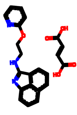 O=C(O)/C=C/C(=O)O.c1ccc(OCCNC2=Nc3cccc4cccc2c34)nc1